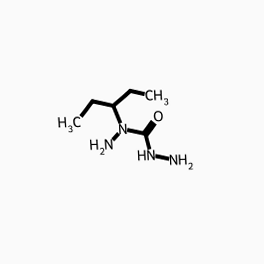 CCC(CC)N(N)C(=O)NN